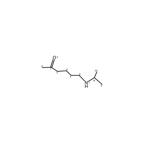 CC(=O)CCCCNC(C)C